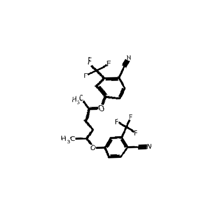 CC(CCC(C)Oc1ccc(C#N)c(C(F)(F)F)c1)Oc1ccc(C#N)c(C(F)(F)F)c1